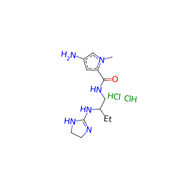 CCC(CNC(=O)c1cc(N)cn1C)NC1=NCCN1.Cl.Cl